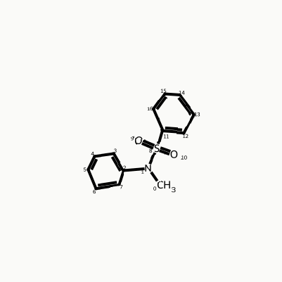 CN(c1ccccc1)S(=O)(=O)c1c[c]ccc1